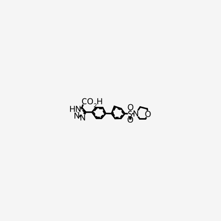 O=C(O)c1[nH]nnc1-c1ccc(-c2ccc(S(=O)(=O)N3CCOCC3)cc2)cc1